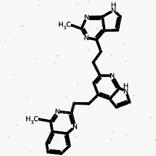 Cc1nc(CCc2cc(CCc3nc(C)c4ccccc4n3)c3cc[nH]c3n2)c2cc[nH]c2n1